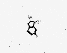 N[C@H]1Cc2ccc(F)cc2[C@H]1O